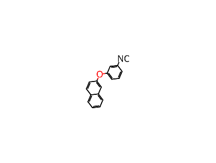 [C-]#[N+]c1cccc(Oc2ccc3ccccc3c2)c1